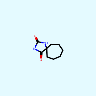 O=C1[N]C(=O)C2(CCCCCC2)N1